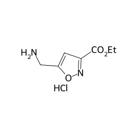 CCOC(=O)c1cc(CN)on1.Cl